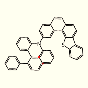 c1ccc(-c2ccccc2-c2ccccc2N(c2ccccc2)c2ccc3ccc4ccc5c6ccccc6sc5c4c3c2)cc1